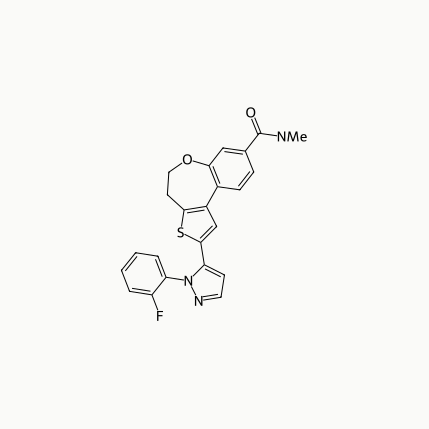 CNC(=O)c1ccc2c(c1)OCCc1sc(-c3ccnn3-c3ccccc3F)cc1-2